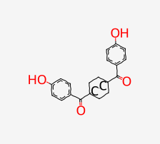 O=C(c1ccc(O)cc1)C12CCC(C(=O)c3ccc(O)cc3)(CC1)CC2